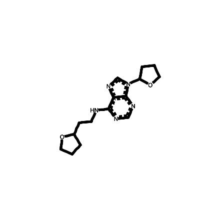 c1nc(NCCC2CCCO2)c2ncn(C3CCCO3)c2n1